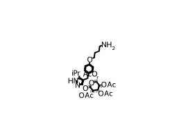 CC(=O)OC[C@H]1O[C@@H](Oc2n[nH]c(C(C)C)c2Cc2ccc(OCCCCN)cc2)[C@H](OC(C)=O)[C@@H](OC(C)=O)[C@@H]1OC(C)=O